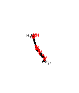 CCC(C)COC(=O)c1ccc(-c2ccc(OC(=O)c3ccc(OC(=O)CCCCCCCCCCCOC(=O)C(C)(CO)CO)cc3)cc2)cc1